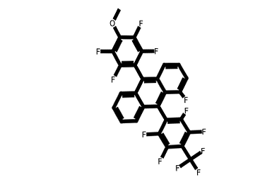 COc1c(F)c(F)c(-c2c3ccccc3c(-c3c(F)c(F)c(C(F)(F)F)c(F)c3F)c3c(F)cccc23)c(F)c1F